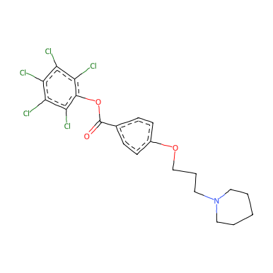 O=C(Oc1c(Cl)c(Cl)c(Cl)c(Cl)c1Cl)c1ccc(OCCCN2CCCCC2)cc1